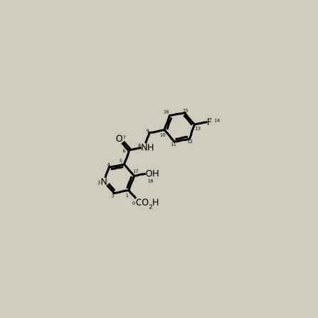 O=C(O)c1cncc(C(=O)NCc2ccc(F)cc2)c1O